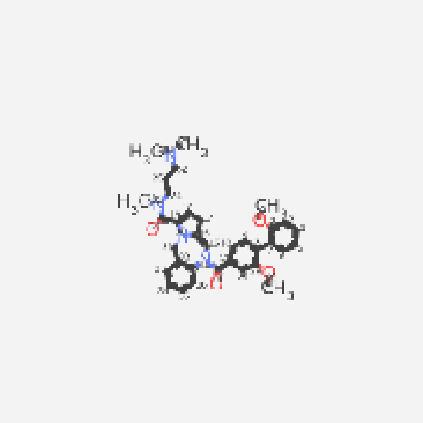 COc1ccccc1-c1ccc(C(=O)N2C=C3CC=C(C(=O)N(C)CCCN(C)C)N3Cc3ccccc32)cc1OC